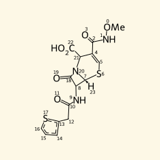 CONC(=O)C1=CS[C@@H]2C(NC(=O)Cc3cccs3)C(=O)N2C1C(=O)O